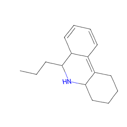 CCCC1NC2CCCCC2=C2C=CC=CC21